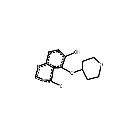 Oc1ccc2ncnc(Cl)c2c1OC1CCOCC1